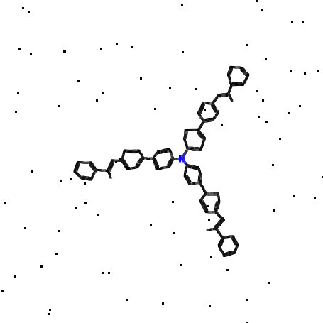 C/C(=C\c1ccc(-c2ccc(N(c3ccc(-c4ccc(/C=C(\C)c5ccccc5)cc4)cc3)c3ccc(-c4ccc(/C=C(\C)c5ccccc5)cc4)cc3)cc2)cc1)c1ccccc1